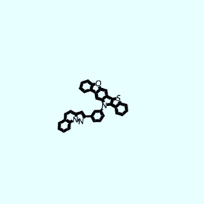 c1cc(-c2cc3ccc4ccccc4n3n2)cc(-n2c3cc4c(cc3c3sc5ccccc5c32)oc2ccccc24)c1